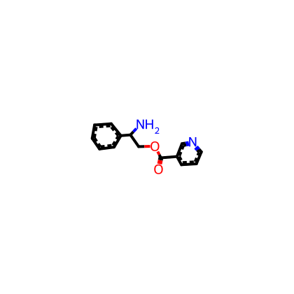 NC(COC(=O)c1cccnc1)c1ccccc1